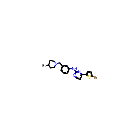 CCC1CCN(Cc2cccc(Nc3nccc(-c4ccc(Br)s4)n3)c2)CC1